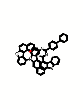 C1=Cc2sc3cccc(-c4nc(-c5ccc(-c6ccccc6)cc5)nc(-c5ccc6ccc7oc8cccc(-n9c%10ccccc%10c%10cc%11ccccc%11cc%109)c8c7c6c5)n4)c3c2CC1